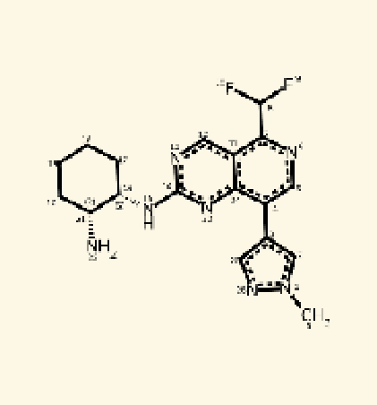 Cn1cc(-c2cnc(C(F)F)c3cnc(N[C@H]4CCCC[C@H]4N)nc23)cn1